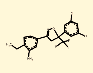 CCc1ccc(C2=NOC(c3cc(Cl)cc(Cl)c3)(C(F)(F)F)C2)cc1N